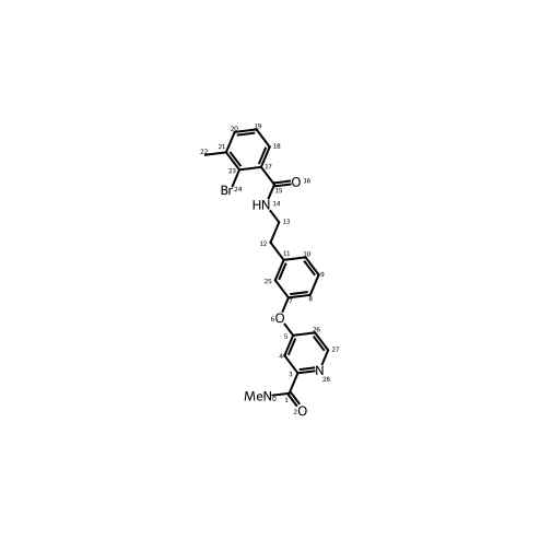 CNC(=O)c1cc(Oc2cccc(CCNC(=O)c3cccc(C)c3Br)c2)ccn1